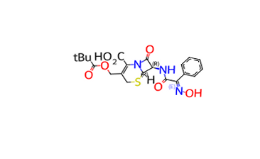 CC(C)(C)C(=O)OCC1=C(C(=O)O)N2C(=O)[C@@H](NC(=O)/C(=N/O)c3ccccc3)[C@H]2SC1